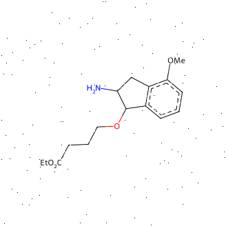 CCOC(=O)CCCOC1c2cccc(OC)c2CC1N